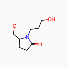 [O]CC1CCC(=O)N1CCCO